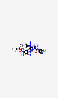 C#CC(C)OC(=O)N[C@H]1CC[C@H](Nc2cc(NC3CC3)c3ncc(C(=O)Nc4ccnc(Cl)c4)n3n2)CC1